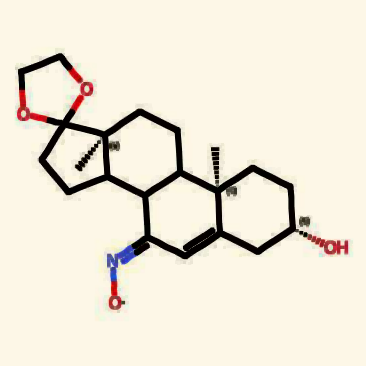 C[C@]12CC[C@H](O)CC1=CC(=N[O])C1C2CC[C@@]2(C)C1CCC21OCCO1